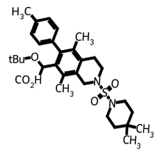 Cc1ccc(-c2c(C)c3c(c(C)c2C(OC(C)(C)C)C(=O)O)CN(S(=O)(=O)N2CCC(C)(C)CC2)CC3)cc1